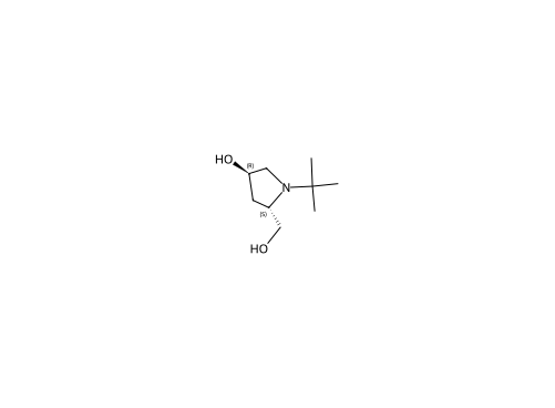 CC(C)(C)N1C[C@H](O)C[C@H]1CO